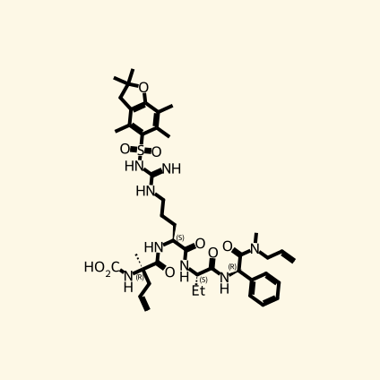 C=CCN(C)C(=O)[C@H](NC(=O)[C@H](CC)NC(=O)[C@H](CCCNC(=N)NS(=O)(=O)c1c(C)c(C)c2c(c1C)CC(C)(C)O2)NC(=O)[C@@](C)(CC=C)NC(=O)O)c1ccccc1